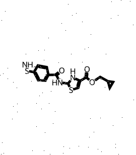 NSc1ccc(C(=O)NC2NC(C(=O)OCC3CC3)=CS2)cc1